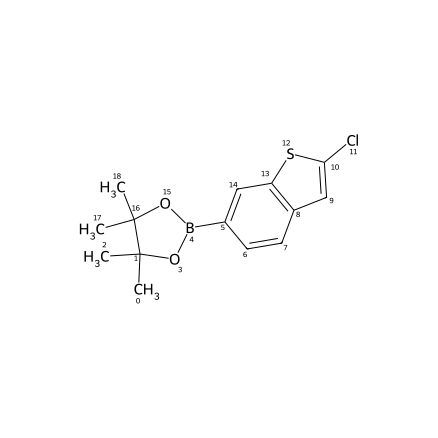 CC1(C)OB(c2ccc3cc(Cl)sc3c2)OC1(C)C